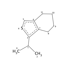 CC(C)c1scc2c1CCCC2